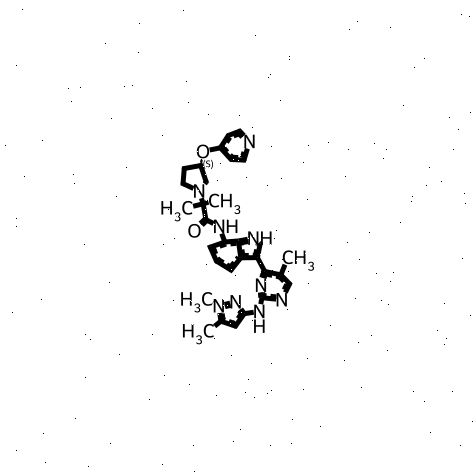 Cc1cnc(Nc2cc(C)n(C)n2)nc1-c1c[nH]c2c(NC(=O)C(C)(C)N3CC[C@H](Oc4ccncc4)C3)cccc12